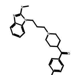 CSc1nc2ccccc2n1CCCN1CCC(C(=O)c2ccc(F)cc2)CC1